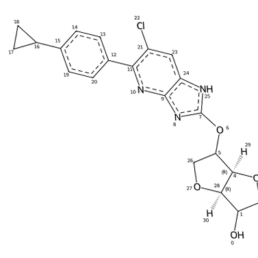 OC1CO[C@@H]2C(Oc3nc4nc(-c5ccc(C6CC6)cc5)c(Cl)cc4[nH]3)CO[C@H]12